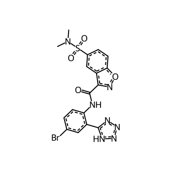 CN(C)S(=O)(=O)c1ccc2onc(C(=O)Nc3ccc(Br)cc3-c3nnn[nH]3)c2c1